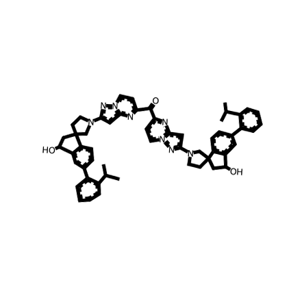 CC(C)c1ccccc1-c1ccc2c(c1)C(O)CC21CCN(c2cc3nc(C(=O)c4ccn5nc(N6CCC7(CC(O)c8cc(-c9ccccc9C(C)C)ccc87)C6)cc5n4)ccn3n2)C1